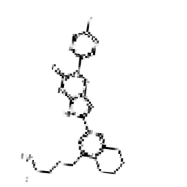 Cc1ccc(-n2cc3cc(-c4cc5c(c(CCC[C@H](C)N)c4)CCCC5)[nH]c3nc2=O)cc1